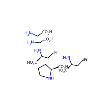 CC(C)C[C@H](N)C(=O)O.CC(C)C[C@H](N)C(=O)O.NCC(=O)O.NCC(=O)O.O=C(O)[C@@H]1CCCN1